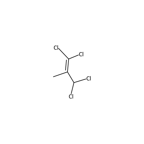 CC(=C(Cl)Cl)C(Cl)Cl